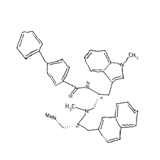 CNC[C@@H](Cc1ccc2ccccc2c1)N(C)C[C@@H](Cc1cn(C)c2ccccc12)NC(=O)c1ccc(-c2ccccc2)cc1